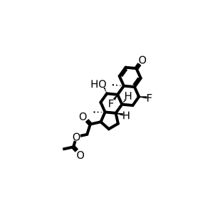 CC(=O)OCC(=O)C1CC[C@H]2[C@@H]3C[C@H](F)C4=CC(=O)C=C[C@]4(C)[C@@]3(F)[C@@H](O)C[C@]12C